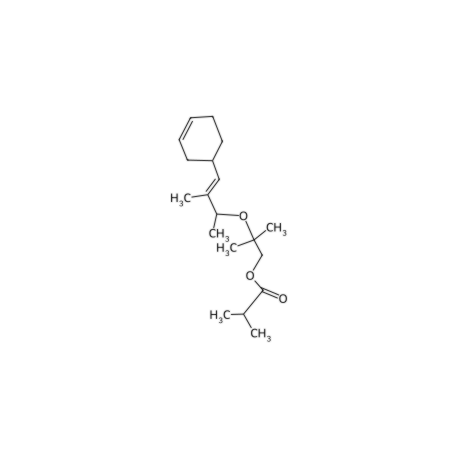 C/C(=C\C1CC=CCC1)C(C)OC(C)(C)COC(=O)C(C)C